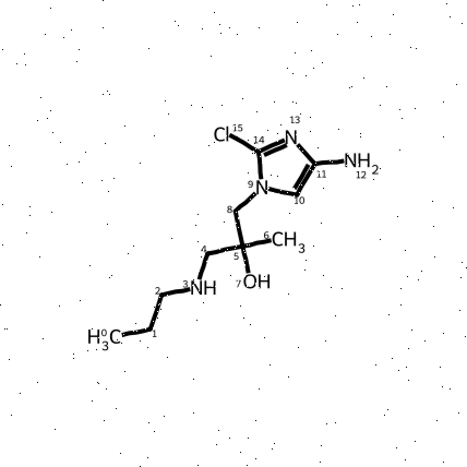 CCCNCC(C)(O)Cn1cc(N)nc1Cl